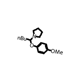 CCCCC(Oc1ccc(OC)cc1)N1CCCC1